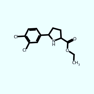 CCOC(=O)C1CCC(c2ccc(Cl)c(Cl)c2)N1